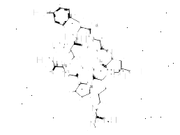 CC(C)C[C@H](NC(=O)CNC(=O)[C@H](Cc1ccc(O)cc1)NC(=O)[C@@H](N)CO)C(=O)N[C@@H](CCCNC(=N)N)C(=O)N1CCC[C@H]1C(=O)NCC(N)=O